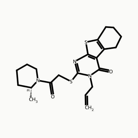 C=CCn1c(SCC(=O)N2CCCC[C@H]2C)nc2sc3c(c2c1=O)CCCC3